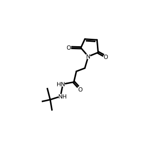 CC(C)(C)NNC(=O)CCN1C(=O)C=CC1=O